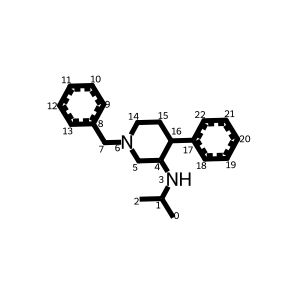 CC(C)NC1CN(Cc2ccccc2)CCC1c1ccccc1